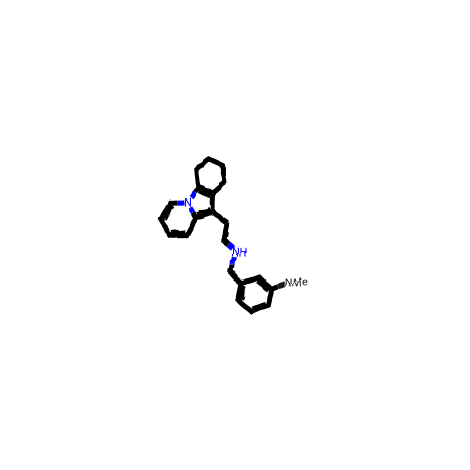 CNc1cccc(CNCCc2c3c(n4ccccc24)CCCC3)c1